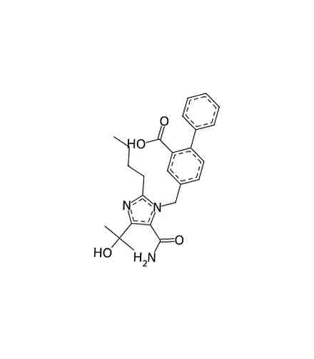 CCCCc1nc(C(C)(C)O)c(C(N)=O)n1Cc1ccc(-c2ccccc2)c(C(=O)O)c1